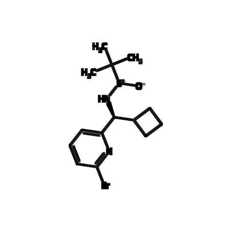 CC(C)(C)[S+]([O-])N[C@H](c1cccc(Br)n1)C1CCC1